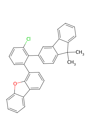 CC1(C)c2ccccc2-c2cc(-c3c(Cl)cccc3-c3cccc4c3oc3ccccc34)ccc21